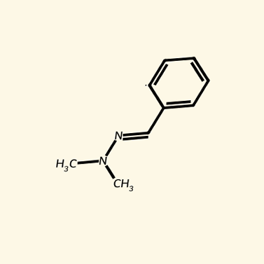 CN(C)N=Cc1[c]cccc1